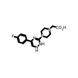 O=C(O)CN1CCN(C2=NC(c3ccc(F)cc3)=CNN2)CC1